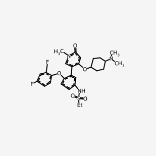 CCS(=O)(=O)Nc1ccc(Oc2ccc(F)cc2F)c(-c2cn(C)c(=O)cc2OC2CCC(N(C)C)CC2)c1